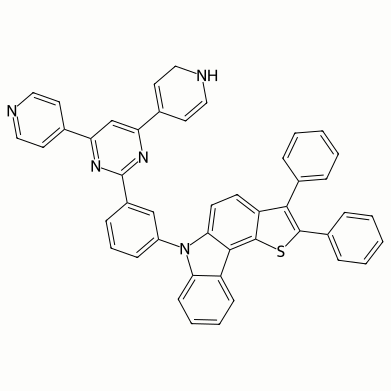 C1=CC(c2cc(-c3ccncc3)nc(-c3cccc(-n4c5ccccc5c5c6sc(-c7ccccc7)c(-c7ccccc7)c6ccc54)c3)n2)=CCN1